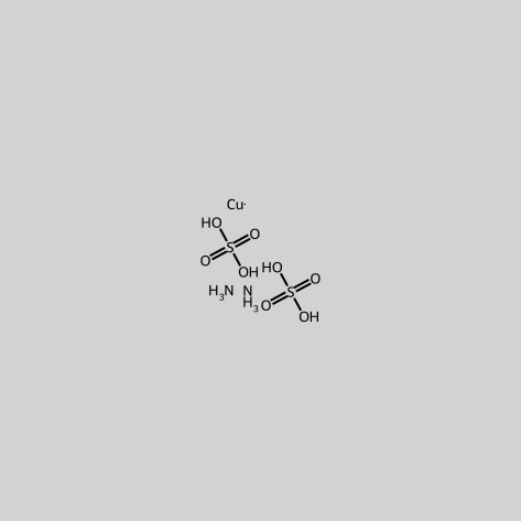 N.N.O=S(=O)(O)O.O=S(=O)(O)O.[Cu]